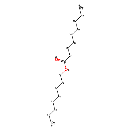 CC(C)CCCCCCCOC(=O)CCCCCCCC(C)C